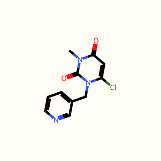 Cn1c(=O)cc(Cl)n(Cc2cccnc2)c1=O